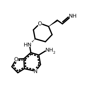 N=CC[C@H]1CC[C@H](Nc2c(N)cnc3ccoc23)CO1